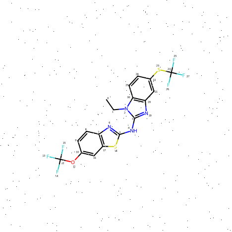 CCn1c(Nc2nc3ccc(OC(F)(F)F)cc3s2)nc2cc(SC(F)(F)F)ccc21